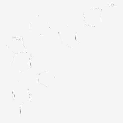 CNC1CCN(c2cc(-c3cccc(-c4cnc5ccc(N6CCCC6c6cccc(F)c6)nn45)n3)ccn2)CC1